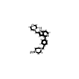 CC(C)N1CCN(Cc2ccc(-c3nccc4[nH]c(CN5CCOCC5)cc34)cc2)CC1